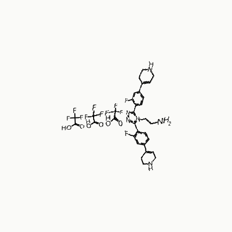 NCCn1c(-c2ccc(C3=CCNCC3)cc2F)nnc1-c1ccc(C2=CCNCC2)cc1F.O=C(O)C(F)(F)F.O=C(O)C(F)(F)F.O=C(O)C(F)(F)F